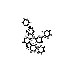 c1ccc(-c2cc(-n3c4ccc(-c5ccccc5)nc4c4ccc5sc6ccccc6c5c43)cc(-c3ccccc3)n2)cc1